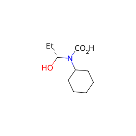 CC[C@@H](O)N(C(=O)O)C1CCCCC1